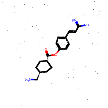 N=C(N)C=Cc1ccc(OC(=O)[C@H]2CC[C@H](CN)CC2)cc1